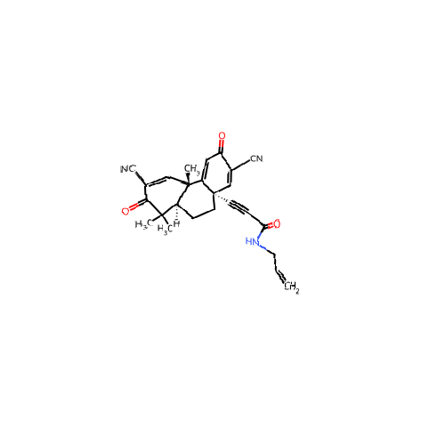 C=CCNC(=O)C#C[C@@]12C=C(C#N)C(=O)C=C1[C@@]1(C)C=C(C#N)C(=O)C(C)(C)[C@@H]1CC2